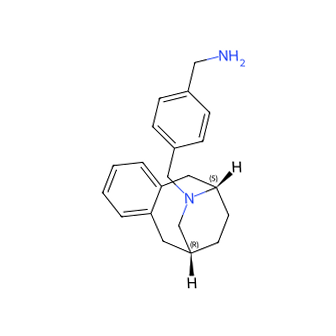 NCc1ccc(CN2C[C@@H]3CC[C@H]2Cc2ccccc2C3)cc1